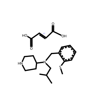 CSc1ccccc1CN(CC(C)C)C1CCNCC1.O=C(O)/C=C/C(=O)O